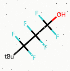 CC(C)(C)C(F)(F)C(F)(F)C(O)(F)F